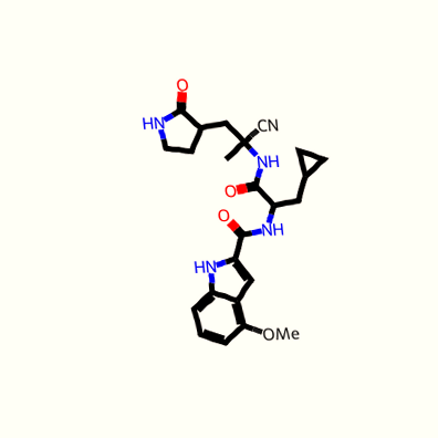 COc1cccc2[nH]c(C(=O)NC(CC3CC3)C(=O)NC(C)(C#N)CC3CCNC3=O)cc12